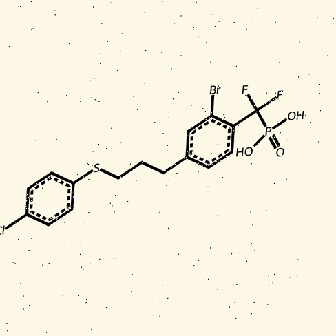 O=P(O)(O)C(F)(F)c1ccc(CCCSc2ccc(Cl)cc2)cc1Br